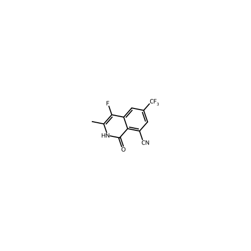 Cc1[nH]c(=O)c2c(C#N)cc(C(F)(F)F)cc2c1F